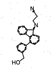 N#CCC/N=C1\c2ccccc2-c2c1cccc2-c1cccc(CO)c1